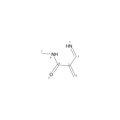 C=C(C=N)C(=O)NC